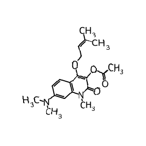 CC(=O)Oc1c(OCC=C(C)C)c2ccc(N(C)C)cc2n(C)c1=O